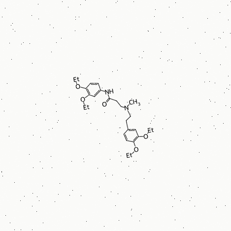 CCOc1ccc(CCN(C)CCC(=O)Nc2ccc(OCC)c(OCC)c2)cc1OCC